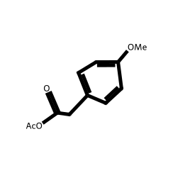 COc1ccc(CC(=O)OC(C)=O)cc1